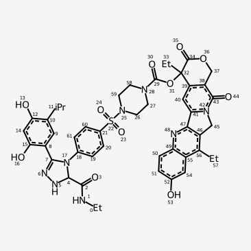 CCNC(=O)C1NN=C(c2cc(C(C)C)c(O)cc2O)N1c1ccc(S(=O)(=O)N2CCN(C(=O)OC3(CC)C(=O)OCc4c3cc3n(c4=O)Cc4c-3nc3ccc(O)cc3c4CC)CC2)cc1